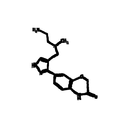 CN(CCN)Cc1c[nH]nc1-c1ccc2c(c1)OCC(=O)N2